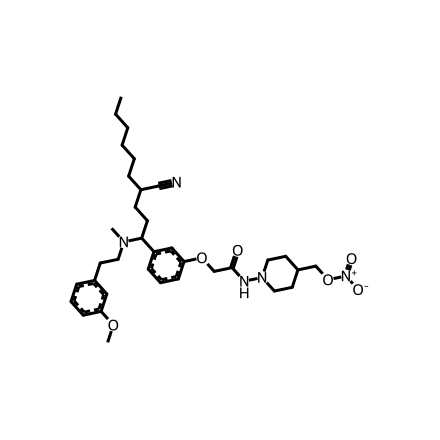 CCCCCCC(C#N)CCC(c1cccc(OCC(=O)NN2CCC(CO[N+](=O)[O-])CC2)c1)N(C)CCc1cccc(OC)c1